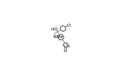 CNCC(O)(c1ccc(Cl)cc1)c1ccc(-c2cn[nH]c2)cc1